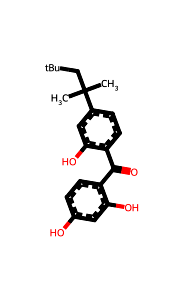 CC(C)(C)CC(C)(C)c1ccc(C(=O)c2ccc(O)cc2O)c(O)c1